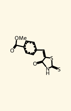 COC(=O)c1ccc(C=C2SC(=S)NC2=O)cc1